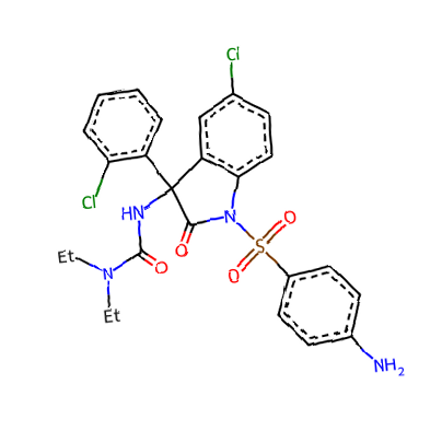 CCN(CC)C(=O)NC1(c2ccccc2Cl)C(=O)N(S(=O)(=O)c2ccc(N)cc2)c2ccc(Cl)cc21